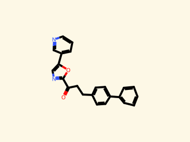 O=C(CCc1ccc(-c2ccccc2)cc1)c1ncc(-c2cccnc2)o1